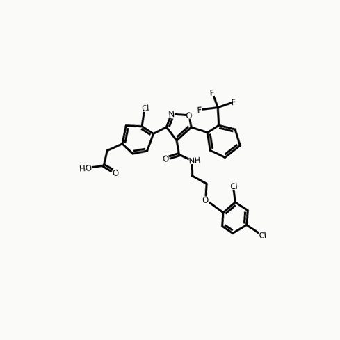 O=C(O)Cc1ccc(-c2noc(-c3ccccc3C(F)(F)F)c2C(=O)NCCOc2ccc(Cl)cc2Cl)c(Cl)c1